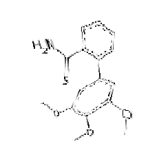 COc1cc(-c2ccccc2C(N)=S)cc(OC)c1OC